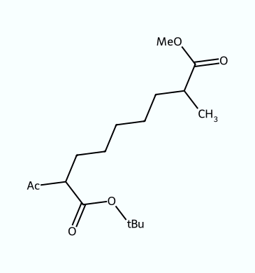 COC(=O)C(C)CCCCCC(C(C)=O)C(=O)OC(C)(C)C